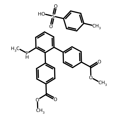 COC(=O)c1ccc(-c2cccc(PC)c2-c2ccc(C(=O)OC)cc2)cc1.Cc1ccc(S(=O)(=O)O)cc1